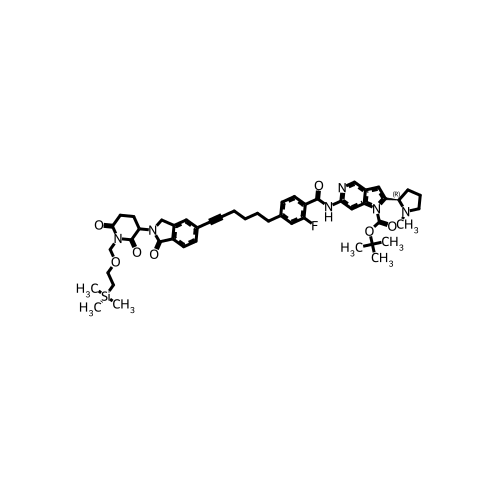 CN1CCC[C@@H]1c1cc2cnc(NC(=O)c3ccc(CCCCC#Cc4ccc5c(c4)CN(C4CCC(=O)N(COCC[Si](C)(C)C)C4=O)C5=O)cc3F)cc2n1C(=O)OC(C)(C)C